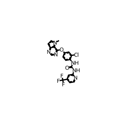 Cn1ccc2ncnc(Oc3ccc(NC(=O)Nc4cc(C(F)(F)F)ccn4)c(Cl)c3)c21